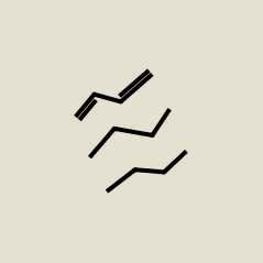 C=CC=C.CCCC.CCCC